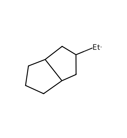 C[CH]C1CC2CCCC2C1